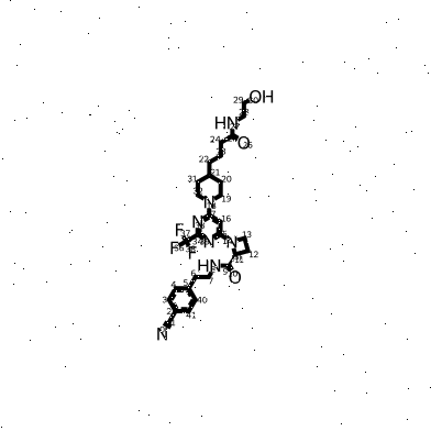 N#Cc1ccc(CCNC(=O)[C@@H]2CCN2c2cc(N3CCC(CCCC(=O)NCCO)CC3)nc(C(F)(F)F)n2)cc1